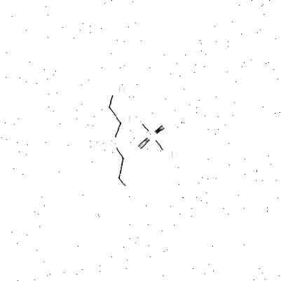 NS(=O)(=O)O.OCCNCCO